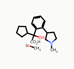 CBr.CN1CCC(c2ccccc2C(O)(C(=O)O)C2CCCC2)C1